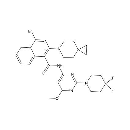 COc1cc(NC(=O)c2c(N3CCC4(CC3)CC4)cc(Br)c3ccccc23)nc(N2CCC(F)(F)CC2)n1